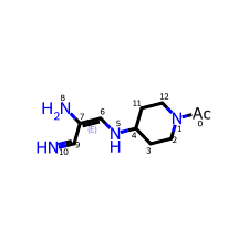 CC(=O)N1CCC(N/C=C(/N)C=N)CC1